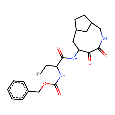 CC(C)CC(NC(=O)OCc1ccccc1)C(=O)NC1CC2CCC(CNC(=O)C1=O)C2